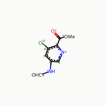 COC(=O)c1ncc(N[C]=O)cc1Cl